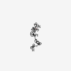 CC(CCC(=O)NC=O)c1coc2ccc(OCCCCNC(=O)c3ccc(N(C(=S)N(C)c4ccc(C#N)c(C(F)(F)F)c4)C(C)(C)C=O)cc3F)cc12